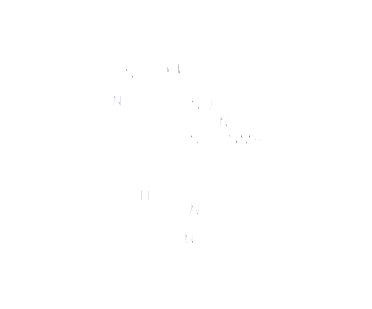 CN/N=C(\NCCCn1cncc1C)NC1C=Cc2nsnc2[C@@H]1C